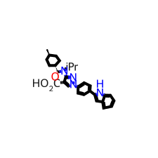 CC(C)N(c1nn(-c2ccc(-c3cc4ccccc4[nH]3)cc2)cc1C(=O)O)C(=O)[C@H]1CC[C@H](C)CC1